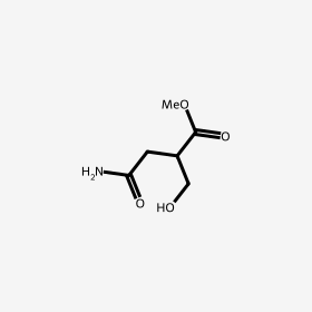 COC(=O)[C](CO)CC(N)=O